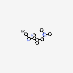 N#Cc1ccc(-c2cncc(-c3cc4c5ccccc5c(-c5cccc(-c6nc(-c7ccccc7)nc(-c7ccccc7)n6)c5)cc4c4cccnc34)c2)cc1